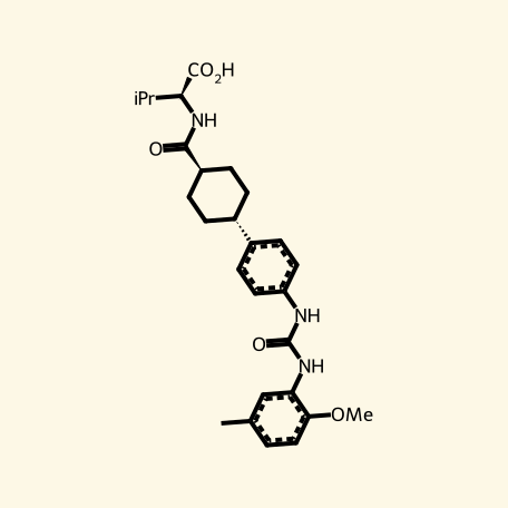 COc1ccc(C)cc1NC(=O)Nc1ccc([C@H]2CC[C@H](C(=O)N[C@H](C(=O)O)C(C)C)CC2)cc1